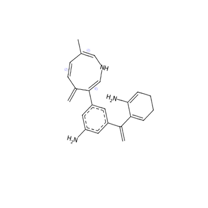 C=C1/C=C\C(C)=C/N/C=C\1c1cc(N)cc(C(=C)C2=CCCC=C2N)c1